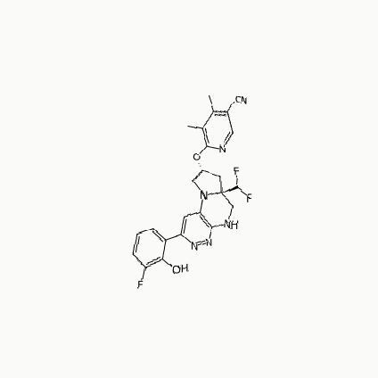 Cc1c(C#N)cnc(O[C@H]2CN3c4cc(-c5cccc(F)c5O)nnc4NC[C@@]3(C(F)F)C2)c1C